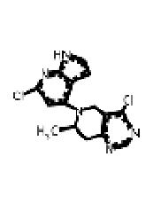 CC1Cc2ncnc(Cl)c2CN1c1cc(Cl)nc2[nH]ccc12